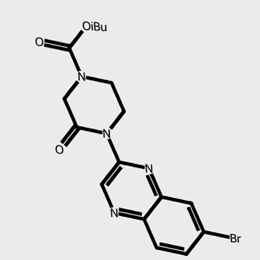 CC(C)COC(=O)N1CCN(c2cnc3ccc(Br)cc3n2)C(=O)C1